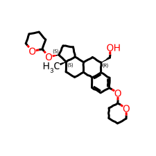 C[C@]12CCC3c4ccc(OC5CCCCO5)cc4[C@H](CO)CC3C1CC[C@@H]2OC1CCCCO1